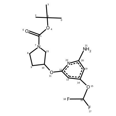 CC(C)(C)OC(=O)N1CCC(Oc2cc(OC(F)F)cc(N)n2)C1